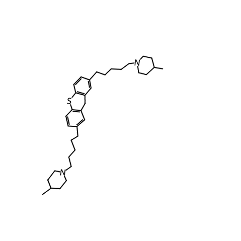 CC1CCN(CCCCCc2ccc3c(c2)Cc2cc(CCCCCN4CCC(C)CC4)ccc2S3)CC1